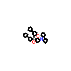 c1ccc(-c2ccc3c(c2)B2c4cc(-c5ccccc5)ccc4Oc4c(-n5c6ccccc6c6ccccc65)ccc(c42)O3)cc1